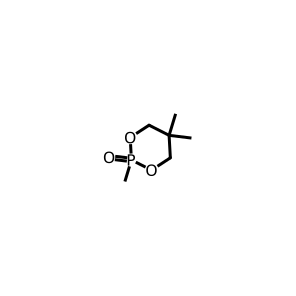 CC1(C)COP(C)(=O)OC1